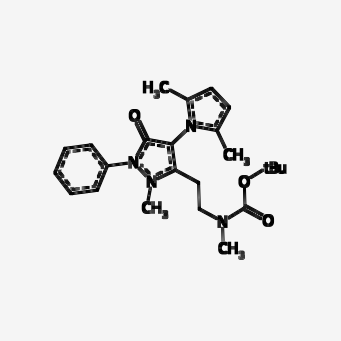 Cc1ccc(C)n1-c1c(CCN(C)C(=O)OC(C)(C)C)n(C)n(-c2ccccc2)c1=O